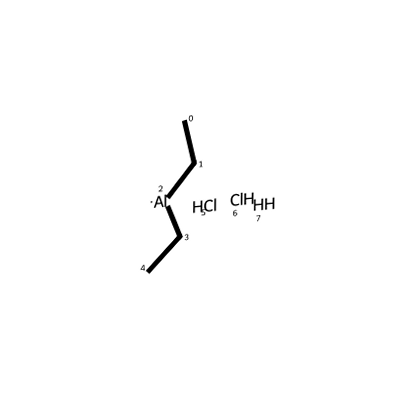 C[CH2][Al][CH2]C.Cl.Cl.[HH]